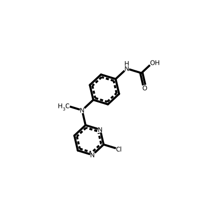 CN(c1ccc(NC(=O)O)cc1)c1ccnc(Cl)n1